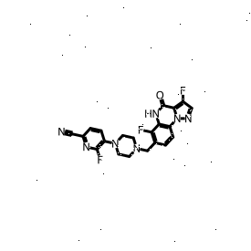 N#Cc1ccc(N2CCN(Cc3ccc4c([nH]c(=O)c5c(F)cnn54)c3F)CC2)c(F)n1